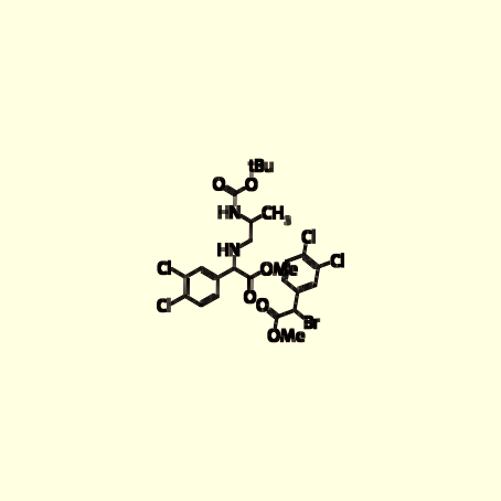 COC(=O)C(Br)c1ccc(Cl)c(Cl)c1.COC(=O)C(NCC(C)NC(=O)OC(C)(C)C)c1ccc(Cl)c(Cl)c1